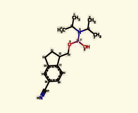 CC(C)N(C(C)C)P(O)OCC1CCc2cc(C#N)ccc21